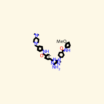 COc1cccc(NC(=O)C2CCC(n3cnc4c(N)nc(-c5ccc(C(=O)Nc6ccc(CN7CCC(N(C)C)CC7)cc6)cc5)nc43)CC2)c1